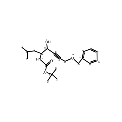 CC(C)CC(NC(=O)OC(C)(C)C)C(O)C#CCOCc1ccccc1